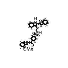 COc1ccccc1CNC(=O)c1ccc(S(=O)(=O)NCCc2c(-c3cc4ccccc4o3)[nH]c3ccccc23)cc1